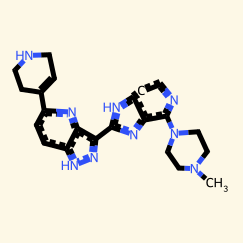 CN1CCN(c2nccc3[nH]c(-c4n[nH]c5ccc(C6=CCNCC6)nc45)nc23)CC1